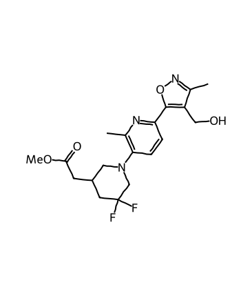 COC(=O)CC1CN(c2ccc(-c3onc(C)c3CO)nc2C)CC(F)(F)C1